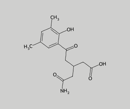 Cc1cc(C)c(O)c(C(=O)CC(CC(N)=O)CC(=O)O)c1